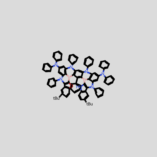 CC(C)(C)c1ccc2[nH]c3c(c2c1)N(c1ccccc1)c1cc(N(c2ccccc2)c2ccccc2)cc2c1B3c1c(cc3c(c1-c1ccccc1)B1c4oc5ccc(C(C)(C)C)cc5c4N(c4ccccc4)c4cc(N(c5ccccc5)c5ccccc5)cc(c41)N3c1ccccc1)N2c1ccccc1